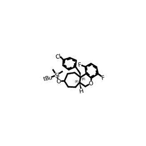 CC(C)(C)[Si](C)(C)OC1CC[C@H]2COc3c(F)ccc(F)c3[C@@]2(Cc2ccc(Cl)cc2)CC1